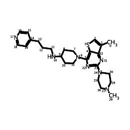 Cc1csc2c(N3CCC(NCCCc4ccncc4)CC3)nc(N3CCN(C)CC3)nc12